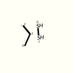 SS.[CH2]CC